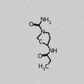 CCC(=O)NC1CCN(C(N)=O)CC1